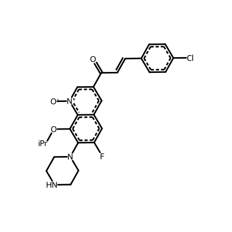 CC(C)Oc1c(N2CCNCC2)c(F)cc2cc(C(=O)C=Cc3ccc(Cl)cc3)c[n+]([O-])c12